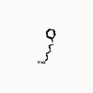 CSCCCCSc1ccccc1